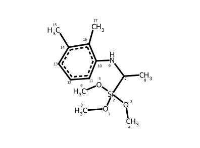 CO[Si](OC)(OC)C(C)Nc1cccc(C)c1C